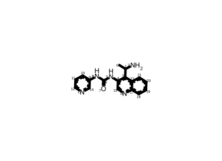 CC(N)c1c(NC(=O)Nc2cccnc2)cnc2ccccc12